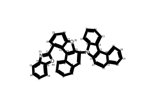 c1ccc2c(c1)cc(-n1c3ccccc3c3c4ccccc4ccc31)c1oc3cccc(-c4nc5ccccc5o4)c3c12